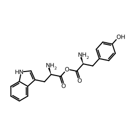 N[C@H](Cc1c[nH]c2ccccc12)C(=O)OC(=O)[C@@H](N)Cc1ccc(O)cc1